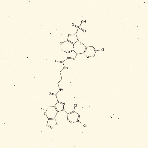 O=C(NCCCNC(=O)c1nn(-c2ccc(Cl)cc2Cl)c2c1COc1cc(S(=O)(=O)O)sc1-2)c1nn(-c2ccc(Cl)cc2Cl)c2c1COc1ccsc1-2